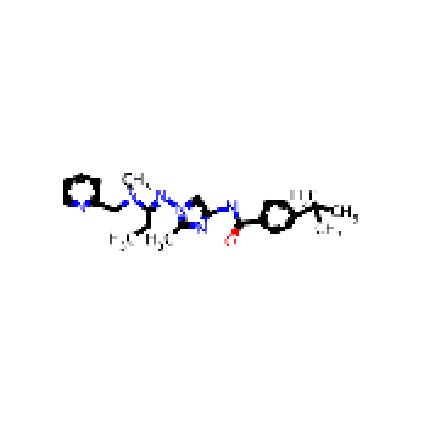 CC/C(=N\n1cc(NC(=O)c2ccc(C(C)(C)C)cc2)nc1C)N(C)Cc1ccccn1